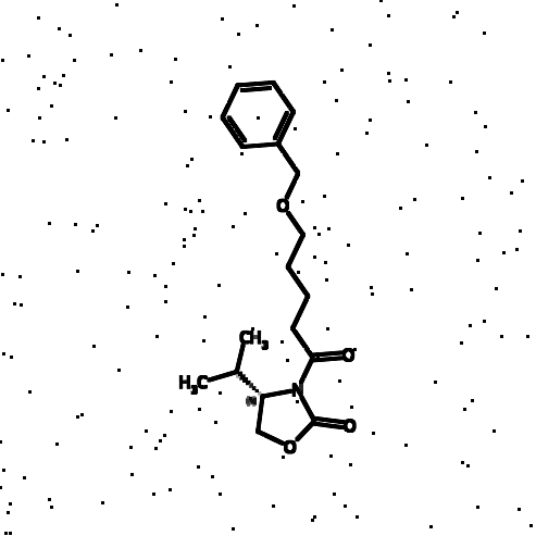 CC(C)[C@H]1COC(=O)N1C(=O)CCCCOCc1ccccc1